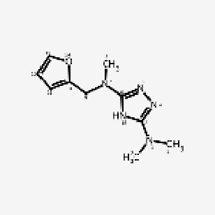 CN(C)c1nnc(N(C)Cc2ccco2)[nH]1